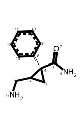 NCC1C[C@@]1(C(N)=O)c1ccccc1